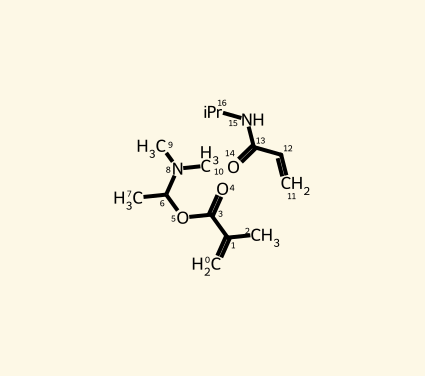 C=C(C)C(=O)OC(C)N(C)C.C=CC(=O)NC(C)C